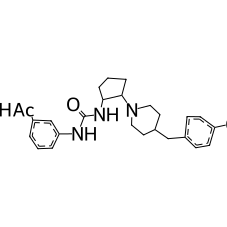 CC(=O)Nc1cccc(NC(=O)NC2CCCC2N2CCC(Cc3ccc(Cl)cc3)CC2)c1